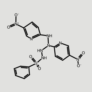 O=[N+]([O-])c1ccc(NN(NNS(=O)(=O)c2ccccc2)c2ccc([N+](=O)[O-])cn2)nc1